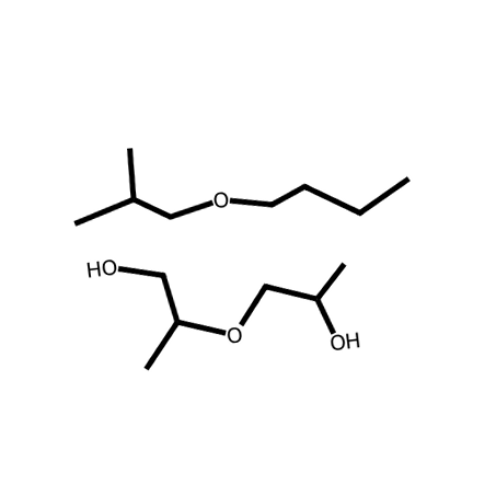 CC(O)COC(C)CO.CCCCOCC(C)C